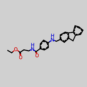 CCOC(=O)CCNC(=O)c1ccc(NCc2ccc3c(c2)Cc2ccccc2-3)cc1